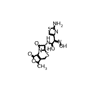 CC1OC(=O)C2=C1CS[C@@H]1[C@H](NC(=O)/C(=N\O)c3csc(N)n3)C(=O)N21